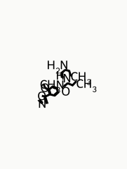 COc1cc(NC(=O)C(CC(C)C)N2CCC(N)CC2)ccc1-c1cnco1